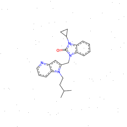 CC(C)CCn1c(Cn2c(=O)n(C3CC3)c3ccccc32)cc2ncccc21